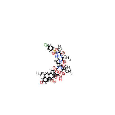 CCC(=O)O[C@]1(C(=O)C(O)OC(=O)[C@@H](NC(=O)[C@@H]2CCCN2C(=O)[C@H](C)NC(=O)[C@H](C)NS(=O)(=O)c2ccc(Cl)cc2)C(C)C)CCC2C3C[C@H](C)C4=CC(=O)C=C[C@]4(C)C3[C@@H](O)C[C@@]21C